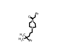 CC(C)CC(=O)N1CCN(CCCC(C)(C)C(C)C)CC1